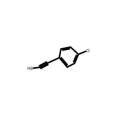 SC#Cc1ccc(Cl)cc1